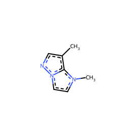 Cc1cnn2ccn(C)c12